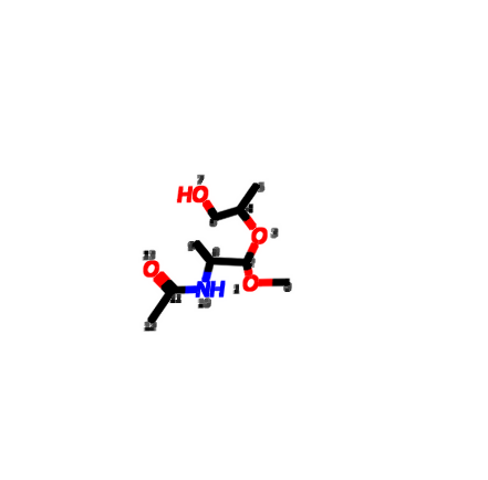 COC(OC(C)CO)C(C)NC(C)=O